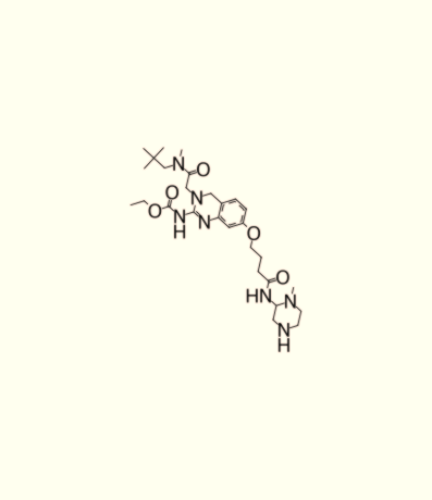 CCOC(=O)NC1=Nc2cc(OCCCC(=O)NC3CNCCN3C)ccc2CN1CC(=O)N(C)CC(C)(C)C